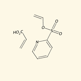 C=CC(=O)O.C=COS(=O)(=O)c1ccccn1